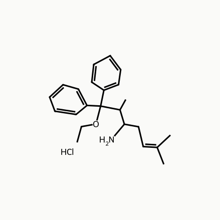 CCOC(c1ccccc1)(c1ccccc1)C(C)C(N)CC=C(C)C.Cl